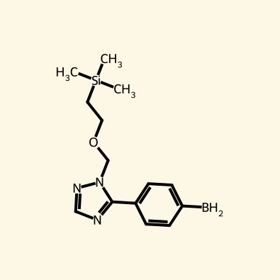 Bc1ccc(-c2ncnn2COCC[Si](C)(C)C)cc1